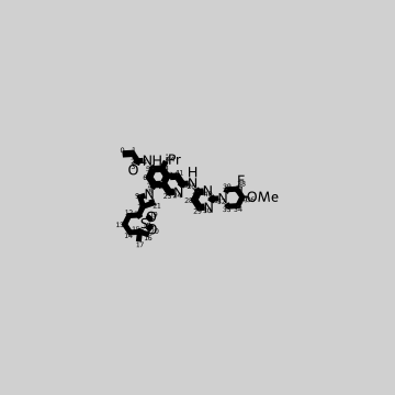 C=CC(=O)Nc1cc(N2CC(C3CCCC(C)(C)S3(=O)=O)C2)c2cnc(Nc3ccnc(N4CC[C@@H](OC)[C@@H](F)C4)n3)cc2c1C(C)C